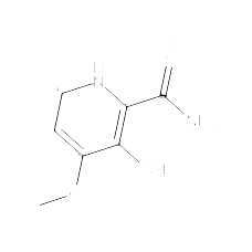 COC1=CCNC(C(N)=O)=C1O